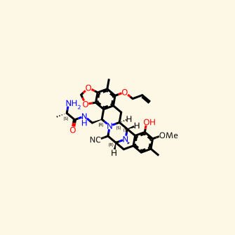 C=CCOc1c(C)c2c(c3c1C[C@H]1[C@@H]4c5c(cc(C)c(OC)c5O)C[C@H](C(C#N)N1[C@H]3CNC(=O)[C@H](C)N)N4C)OCO2